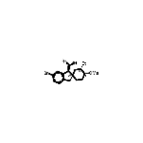 [2H]C([2H])=C1c2cc(Br)ccc2C[C@@]12CC[C@H](OC)[C@@H](CC)C2